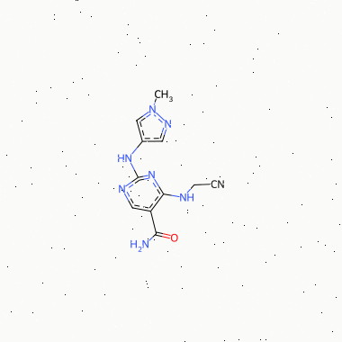 Cn1cc(Nc2ncc(C(N)=O)c(NCC#N)n2)cn1